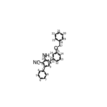 N#Cc1c(-c2ccccc2)cn(-c2cccc(OCc3ccccc3)c2)c1N